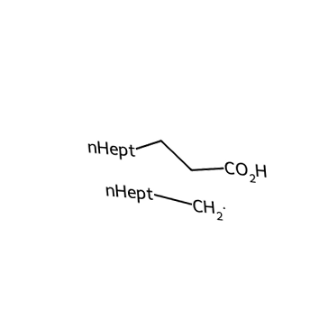 CCCCCCCCCC(=O)O.[CH2]CCCCCCC